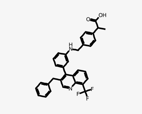 CC(C(=O)O)c1ccc(CNc2cccc(-c3c(Cc4ccccc4)cnc4c(C(F)(F)F)cccc34)c2)cc1